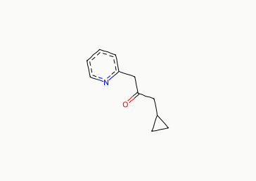 O=C(Cc1ccccn1)CC1CC1